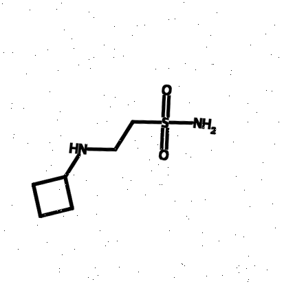 NS(=O)(=O)CCNC1CCC1